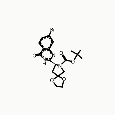 CC(C)(C)OC(=O)N1CC2(C[C@H]1c1nc3cc(Br)ccc3c(=O)[nH]1)OCCO2